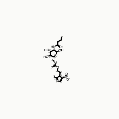 CCCC(=O)N[C@H]1C(O)O[C@H](COC(=O)OCCC2C([N+](=O)[O-])=CN=C2C)[C@@H](O)[C@@H]1O